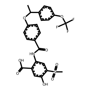 CC(Oc1ccc(C(=O)Nc2cc(S(C)(=O)=O)c(O)cc2C(=O)O)cc1)c1ccc(OC(F)(F)F)cc1